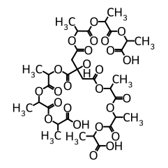 CC(OC(=O)C(C)OC(=O)C(C)OC(=O)CC(O)(CC(=O)OC(C)C(=O)OC(C)C(=O)OC(C)C(=O)O)C(=O)OC(C)C(=O)OC(C)C(=O)OC(C)C(=O)O)C(=O)O